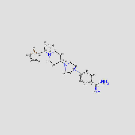 N=C(N)c1ccc(N2CCN(C3CCN(C(C(=O)O)c4cccs4)CC3)CC2)cc1